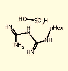 CCCCCCNC(=N)NC(=N)N.O=S(=O)(O)O